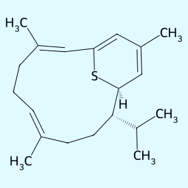 CC1=C[C@@H]2SC(=C1)/C=C(\C)CC/C=C(\C)CC[C@H]2C(C)C